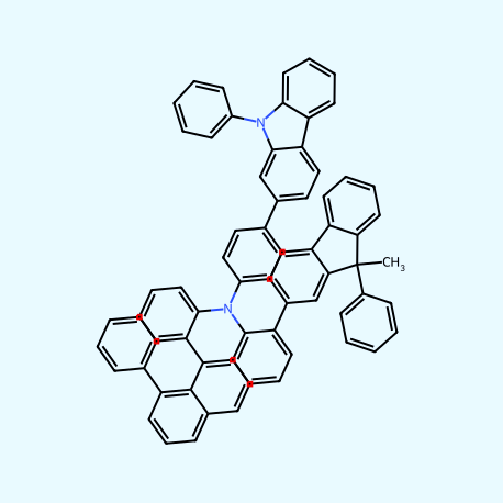 CC1(c2ccccc2)c2ccccc2-c2ccc(-c3ccccc3N(c3ccc(-c4ccc5c6ccccc6n(-c6ccccc6)c5c4)cc3)c3ccccc3-c3cccc4cccc(-c5ccccc5)c34)cc21